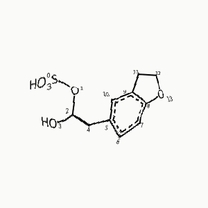 O=S(=O)(O)OC(O)Cc1ccc2c(c1)CCO2